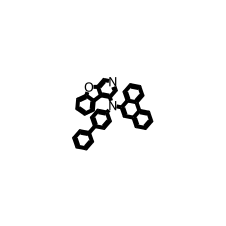 c1ccc(-c2ccc(N(c3cc4ccccc4c4ccccc34)c3cncc4oc5ccccc5c34)cc2)cc1